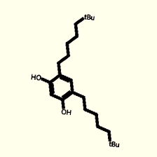 CC(C)(C)CCCCCc1cc(CCCCCC(C)(C)C)c(O)cc1O